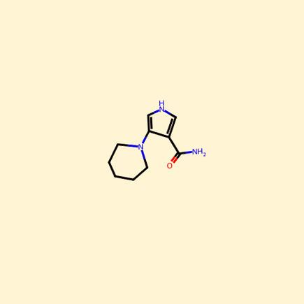 NC(=O)c1c[nH]cc1N1CCCCC1